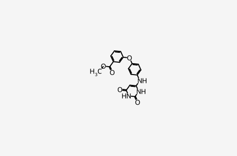 COC(=O)c1cccc(Oc2ccc(Nc3cc(=O)[nH]c(=O)[nH]3)cc2)c1